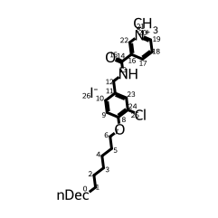 CCCCCCCCCCCCCCCCOc1ccc(CNC(=O)c2ccc[n+](C)c2)cc1Cl.[I-]